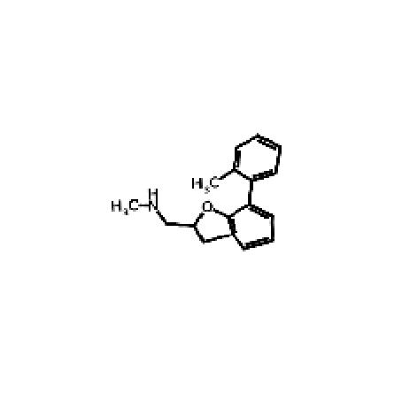 CNCC1Cc2cccc(-c3ccccc3C)c2O1